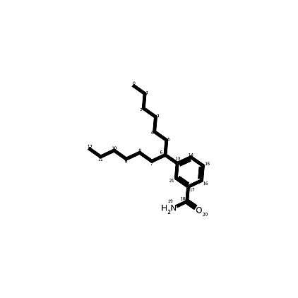 CCCCCCC(CCCCCC)c1cccc(C(N)=O)c1